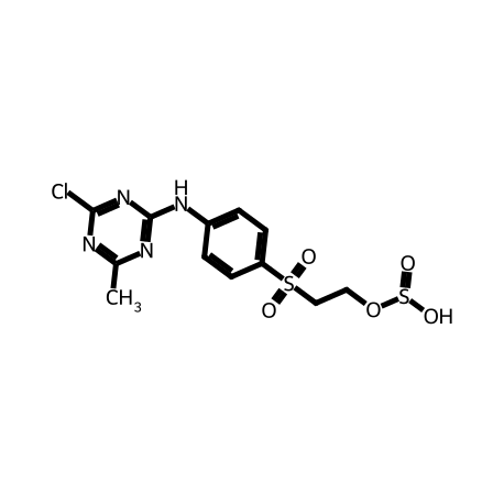 Cc1nc(Cl)nc(Nc2ccc(S(=O)(=O)CCOS(=O)O)cc2)n1